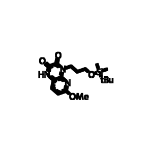 COc1ccc2[nH]c(=O)c(=O)n(CCCO[Si](C)(C)C(C)(C)C)c2n1